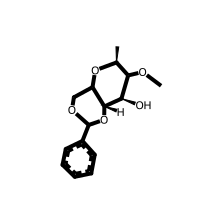 COC1[C@H](C)OC2COC(c3ccccc3)O[C@H]2[C@@H]1O